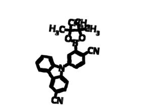 CC1(C)OB(c2cc(-n3c4ccccc4c4cc(C#N)ccc43)ccc2C#N)OC1(C)C